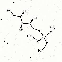 CO[Si](OC)(OC)OC[C@H](O)[C@@H](O)[C@H](O)CO